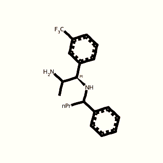 CCCC(N[C@H](c1cccc(C(F)(F)F)c1)C(C)N)c1ccccc1